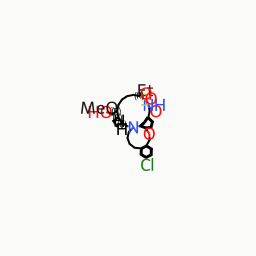 CC[C@@H]1CCCC[C@@](CO)(OC)[C@@H]2CC[C@H]2CN2CCCCc3cc(Cl)ccc3COc3ccc(cc32)C(=O)NS1(=O)=O